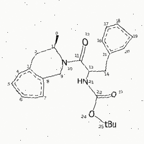 C[C@@H]1Cc2ccccc2CN1C(=O)C(Cc1ccccc1)NC(=O)OC(C)(C)C